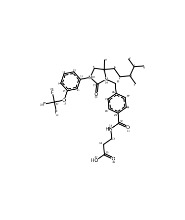 CC(C)C(C)CCC1(C)CN(c2cccc(OC(F)(F)F)c2)C(=O)N1Cc1ccc(C(=O)NCCC(=O)O)cc1